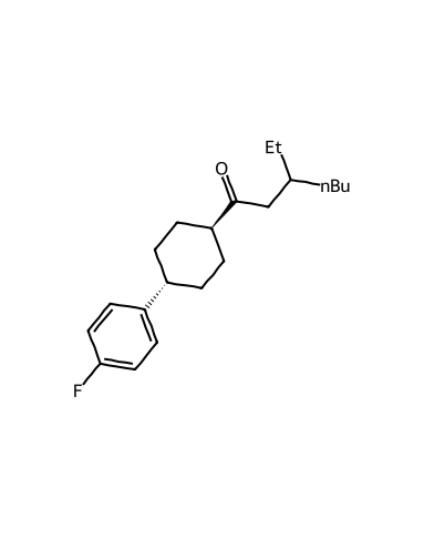 CCCCC(CC)CC(=O)[C@H]1CC[C@H](c2ccc(F)cc2)CC1